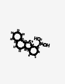 OB(O)c1cccc2c1sc1c3ccccc3ccc21